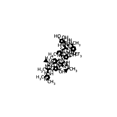 Cc1cc2sc(-c3c(C)nc(NC4CC4)nc3N[C@@H]3C[C@H](CO)[C@@H](O)[C@H]3Oc3nc(C)cc4sc(-c5c(C)nc(N[C@H](C)C6CC6)nc5NC5C[C@H](CO)[C@@H](O)[C@@]5(C)Oc5nc(C)cc6sc(-c7c(C)nc(N[C@H](C)c8ccc(OC(F)(F)F)cc8)nc7N[C@@H]7C[C@H](CO)[C@@H](O)[C@@]7(C)O)nc56)nc34)nc2c(C)n1